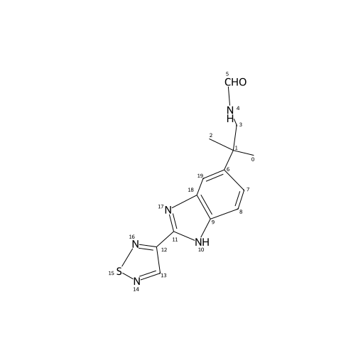 CC(C)(CNC=O)c1ccc2[nH]c(-c3cnsn3)nc2c1